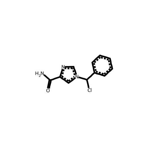 NC(=O)c1cn(C(Cl)c2ccccc2)cn1